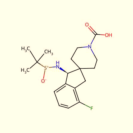 CC(C)(C)[S+]([O-])N[C@@H]1c2cccc(F)c2CC12CCN(C(=O)O)CC2